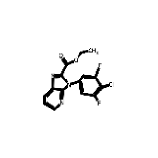 CCOC(=O)c1nc2cccnc2n1-c1cc(F)c(Cl)c(F)c1